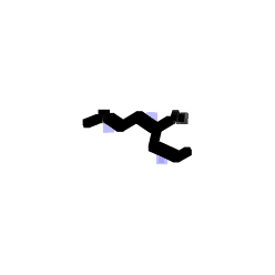 C\C=C/C(=C\C=N\C)C(C)=O